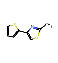 Cc1nc(-c2cc[c]s2)cs1